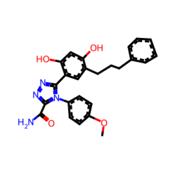 COc1ccc(-n2c(C(N)=O)nnc2-c2cc(CCCc3ccccc3)c(O)cc2O)cc1